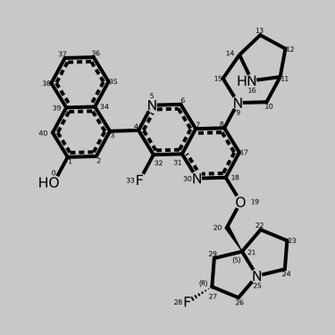 Oc1cc(-c2ncc3c(N4CC5CCC(C4)N5)cc(OC[C@@]45CCCN4C[C@H](F)C5)nc3c2F)c2ccccc2c1